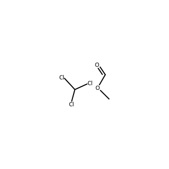 COC=O.ClC(Cl)Cl